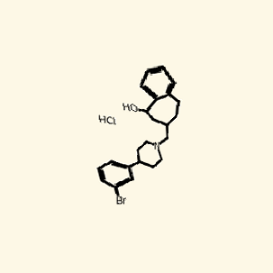 Cl.OC1CC(CN2CCC(c3cccc(Br)c3)CC2)CCc2ccccc21